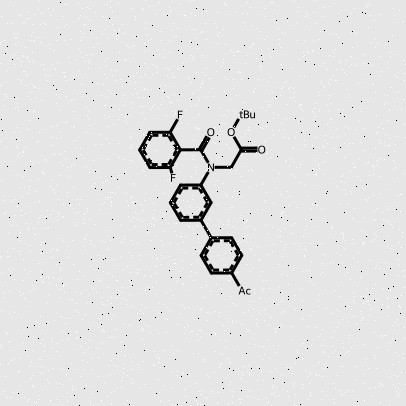 CC(=O)c1ccc(-c2cccc(N(CC(=O)OC(C)(C)C)C(=O)c3c(F)cccc3F)c2)cc1